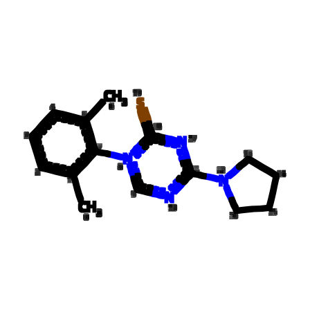 Cc1cccc(C)c1-n1cnc(N2CCCC2)nc1=S